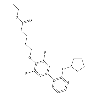 CCOC(=O)CCCCOc1c(F)cc(-c2cccnc2OC2CCCC2)cc1F